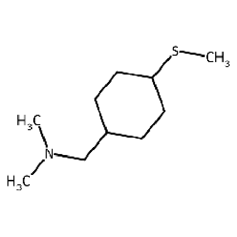 CSC1CCC(CN(C)C)CC1